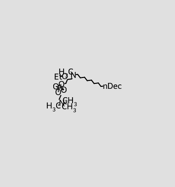 CCCCCCCCCCCCCCCCCCN(C)CC(COP(=O)([O-])OCC[N+](C)(C)C)OCC